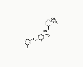 CC1(C)CC(CNC(=O)c2ccc(COc3cccc(F)c3)nc2)CCO1